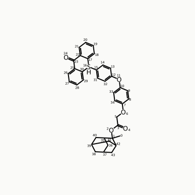 CC1(OC(=O)COc2ccc(Oc3ccc([SH]4c5ccccc5C(=O)c5ccccc54)cc3)cc2)C2CC3CC(C2)CC1C3